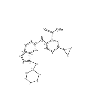 COC(=O)c1cc(C2CC2)cnc1Nc1ccc2ccn(CC3CCCCC3)c2c1